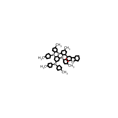 Cc1ccc(N(c2ccc(C)cc2)c2cc3c4c(c2)N(c2ccc(C)cc2)c2c(cc(C)cc2-c2ccc5oc6ccccc6c5c2)B4c2cc(C)ccc2N3c2ccc(C)cc2)cc1